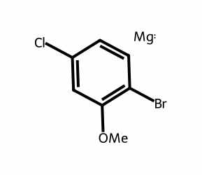 COc1cc(Cl)ccc1Br.[Mg]